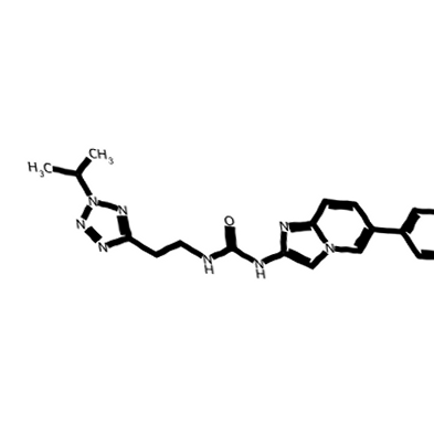 CC(C)n1nnc(CCNC(=O)Nc2cn3cc(-c4ccncc4)ccc3n2)n1